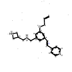 C=CCOc1cc(/C=C/c2ccncc2)cc(CNCC2CNC2)c1